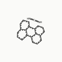 N=C=N.c1cc2cccc3c4cccc5cccc(c(c1)c23)c54